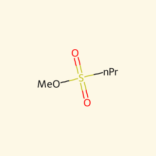 [CH2]OS(=O)(=O)CCC